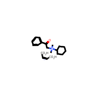 C[N+](C)(CC(=O)c1ccccc1)C1CCCCC1.O=C(O)/C=C\C(=O)O